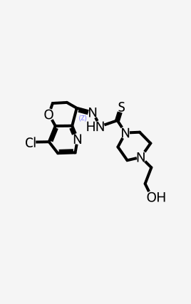 OCCN1CCN(C(=S)N/N=C2/CCOc3c(Cl)ccnc32)CC1